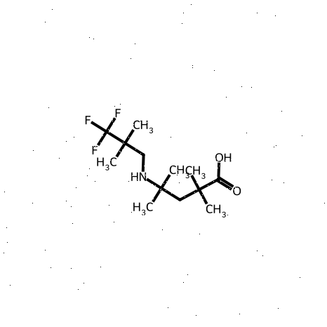 CC(C)(CC(C)(C)C(=O)O)NCC(C)(C)C(F)(F)F